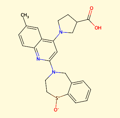 Cc1ccc2nc(N3CC[S+]([O-])c4ccccc4C3)cc(N3CCC(C(=O)O)C3)c2c1